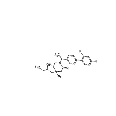 CC(C)C1(C[C@H](O)CO)CCN([C@@H](C)c2ccc(-c3ccc(F)cc3F)cc2)C(=O)C1